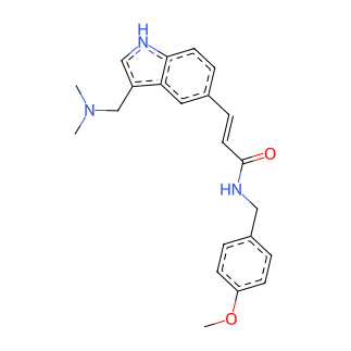 COc1ccc(CNC(=O)C=Cc2ccc3[nH]cc(CN(C)C)c3c2)cc1